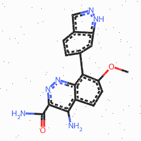 COc1ccc2c(N)c(C(N)=O)nnc2c1-c1ccc2cn[nH]c2c1